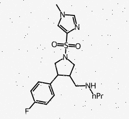 CCCNCC1CN(S(=O)(=O)c2cn(C)cn2)CC1c1ccc(F)cc1